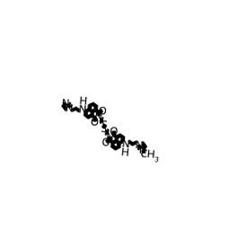 CN1C=CN(CCCNc2ccc3c4c(cccc24)C(=O)N(CCSSCCN2C(=O)c4cccc5c(NCCCn6ccnc6)ccc(c45)C2=O)C3=O)C1